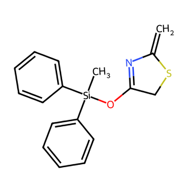 C=C1N=C(O[Si](C)(c2ccccc2)c2ccccc2)CS1